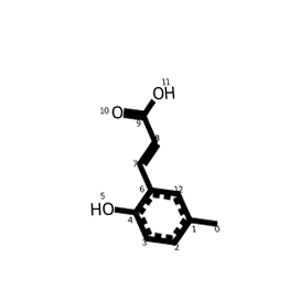 Cc1ccc(O)c(C=CC(=O)O)c1